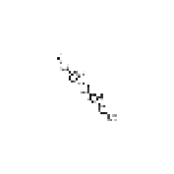 C=CC1CCC(c2ccc(C3CCC(c4ccc(C5=CCC(CC)CC5)c(F)c4)CC3)c(F)c2)CC1